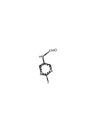 O=CNc1[c]nc(F)nc1